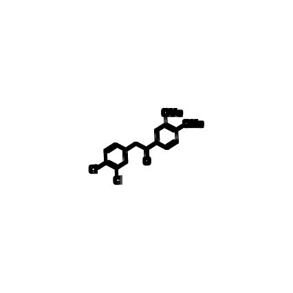 COc1ccc(C(=O)Cc2ccc(Cl)c(Cl)c2)cc1OC